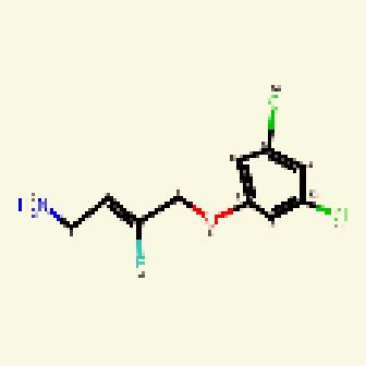 NCC=C(F)COc1cc(Cl)cc(Cl)c1